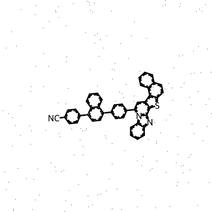 N#Cc1ccc(-c2ccc(-c3ccc(-c4cc5c(sc6ccc7ccccc7c65)c5nc6ccccc6n45)cc3)c3ccccc23)cc1